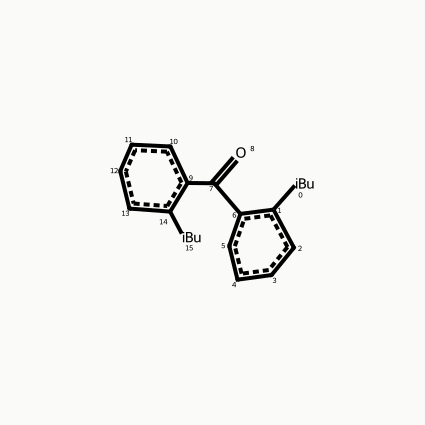 CCC(C)c1ccccc1C(=O)c1ccccc1C(C)CC